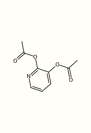 CC(=O)Oc1cccnc1OC(C)=O